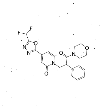 O=C(C(Cn1ccc(-c2nnc(C(F)F)o2)cc1=O)c1ccccc1)N1CCOCC1